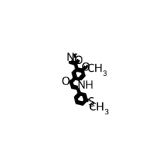 COc1cc2[nH]c(-c3cccc(SC)c3)cc(=O)c2cc1-c1cnco1